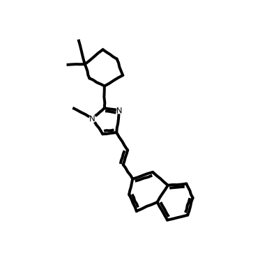 Cn1cc(C=Cc2ccc3ccccc3c2)nc1C1CCCC(C)(C)C1